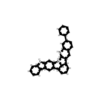 c1ccc(-c2ccc3cc4c5cccc6c7cc8c(cc7n(c4nc3c2)c65)sc2ccccc28)cc1